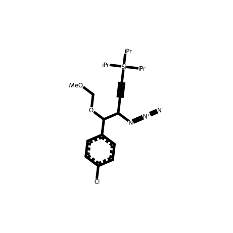 COCOC(c1ccc(Cl)cc1)C(C#C[Si](C(C)C)(C(C)C)C(C)C)N=[N+]=[N-]